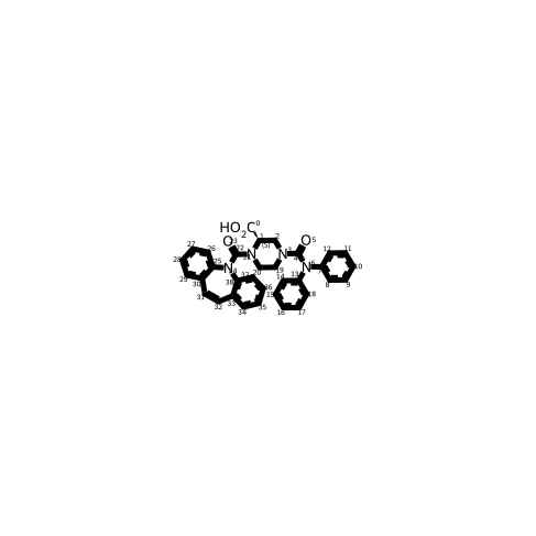 O=C(O)[C@@H]1CN(C(=O)N(c2ccccc2)c2ccccc2)CCN1C(=O)N1c2ccccc2C=Cc2ccccc21